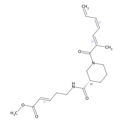 C=C/C=C\C=C(/C)C(=O)N1CCC[C@H](C(=O)NCC/C=C/C(=O)OC)C1